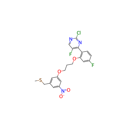 CSCc1cc(OCCCOc2cc(F)ccc2-c2nc(Cl)ncc2F)cc([N+](=O)[O-])c1